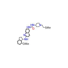 COc1cccc2c1C(Nc1ccc3cc(NC(=O)NC4CCN(CCSC)CC4)ccc3n1)CC2